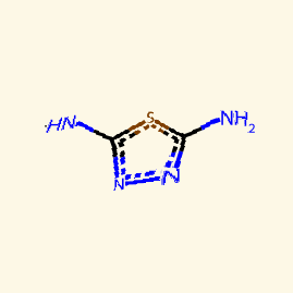 [NH]c1nnc(N)s1